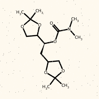 CN(C)C(=O)O[C@@H](CC1COC(C)(C)O1)C1COC(C)(C)O1